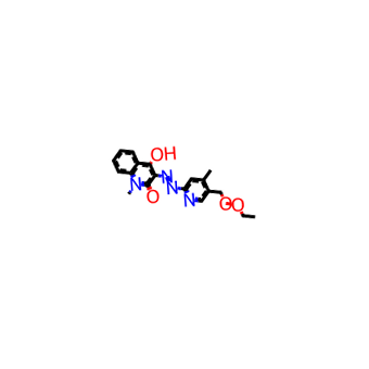 CCOOCc1cnc(N=Nc2c(O)c3ccccc3n(C)c2=O)cc1C